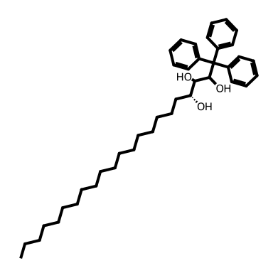 CCCCCCCCCCCCCCCCCC[C@@H](O)C(O)C(O)C(c1ccccc1)(c1ccccc1)c1ccccc1